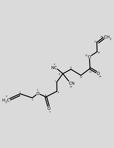 C=CCOC(=O)CCC(C#N)(C#N)CCC(=O)OCC=C